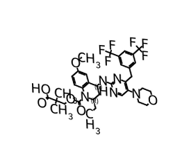 CC[C@@H]1C[C@H](Nc2ncc(N3CCOCC3)c(Cc3cc(C(F)(F)F)cc(C(F)(F)F)c3)n2)c2cc(OC)ccc2N1C(=O)OCC(C)(C)C(=O)O